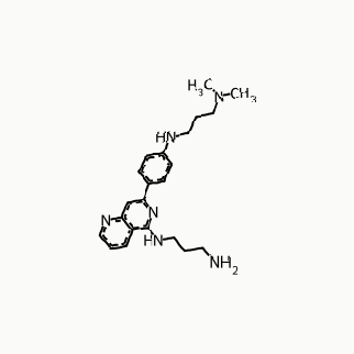 CN(C)CCCNc1ccc(-c2cc3ncccc3c(NCCCN)n2)cc1